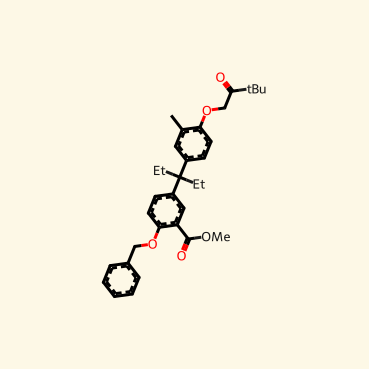 CCC(CC)(c1ccc(OCC(=O)C(C)(C)C)c(C)c1)c1ccc(OCc2ccccc2)c(C(=O)OC)c1